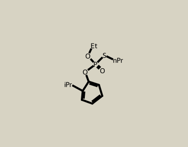 CCCSP(=O)(OCC)Oc1ccccc1C(C)C